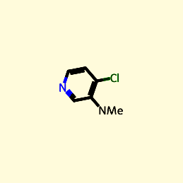 CNc1cnccc1Cl